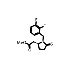 COC(=O)C[C@@H]1CCC(=S)N1Cc1cccc(F)c1F